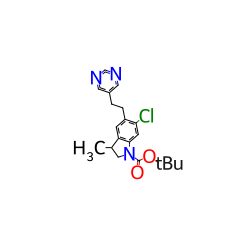 CC1CN(C(=O)OC(C)(C)C)c2cc(Cl)c(CCc3cncnc3)cc21